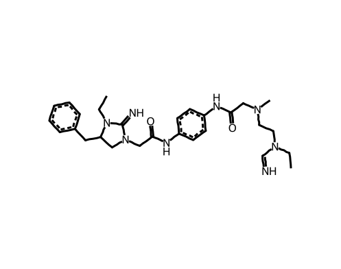 CCN(C=N)CCN(C)CC(=O)Nc1ccc(NC(=O)CN2CC(Cc3ccccc3)N(CC)C2=N)cc1